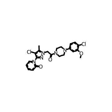 COc1cc(N2CCN(C(=O)Cn3nc(-n4ccccc4=O)c(Cl)c3C)CC2)ccc1Cl